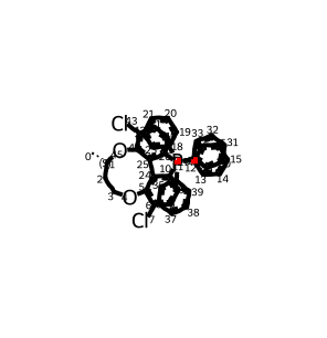 C[C@H]1CCOc2c(Cl)ccc(P(c3ccccc3)c3ccccc3)c2-c2c(P(c3ccccc3)c3ccccc3)ccc(Cl)c2O1